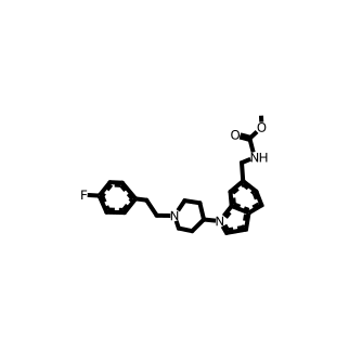 COC(=O)NCc1ccc2ccn(C3CCN(CCc4ccc(F)cc4)CC3)c2c1